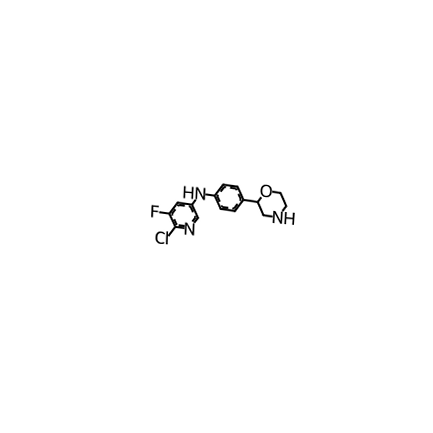 Fc1cc(Nc2ccc(C3CNCCO3)cc2)cnc1Cl